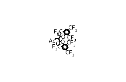 CC(=O)CC(C(=O)Oc1c(C(F)(F)F)cc(C(F)(F)F)cc1C(F)(F)F)C(=O)Oc1c(C(F)(F)F)cc(C(F)(F)F)cc1C(F)(F)F